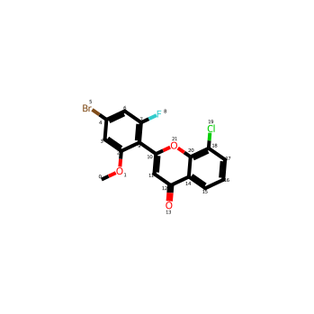 COc1cc(Br)cc(F)c1-c1cc(=O)c2cccc(Cl)c2o1